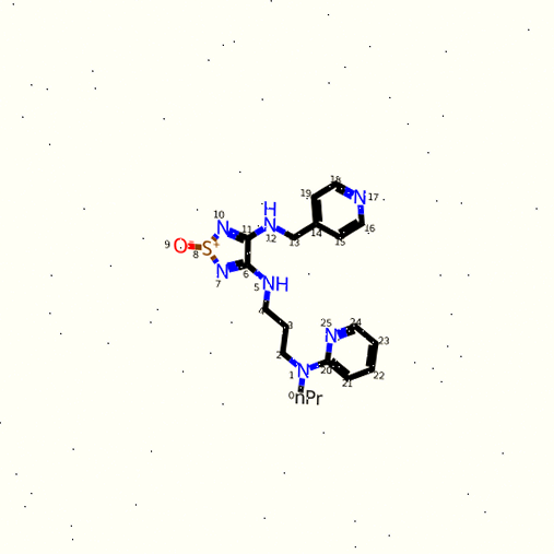 CCCN(CCCNc1n[s+]([O-])nc1NCc1ccncc1)c1ccccn1